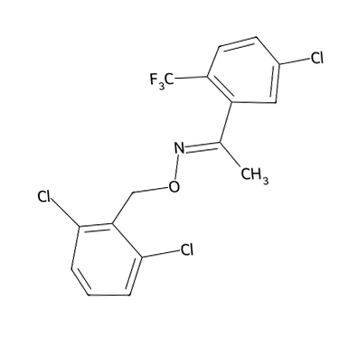 C/C(=N\OCc1c(Cl)cccc1Cl)c1cc(Cl)ccc1C(F)(F)F